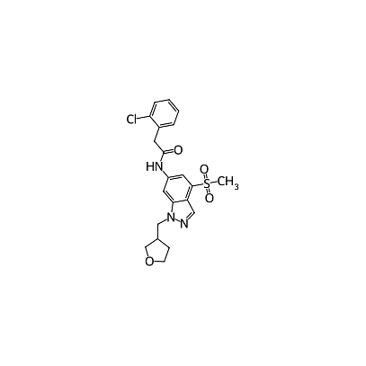 CS(=O)(=O)c1cc(NC(=O)Cc2ccccc2Cl)cc2c1cnn2CC1CCOC1